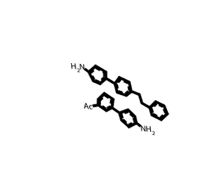 CC(=O)c1cccc(-c2ccc(N)cc2)c1.Nc1ccc(-c2ccc(CCc3ccccc3)cc2)cc1